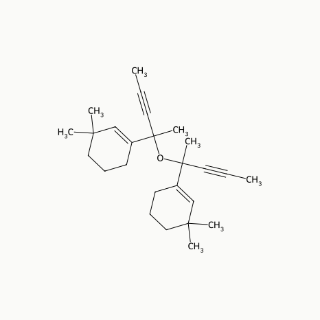 CC#CC(C)(OC(C)(C#CC)C1=CC(C)(C)CCC1)C1=CC(C)(C)CCC1